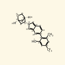 Cc1cc(C(F)(F)F)cc(O)c1-c1ccc2cn([C@@H]3C[C@@H]4C[C@H]3CO4)nc2n1